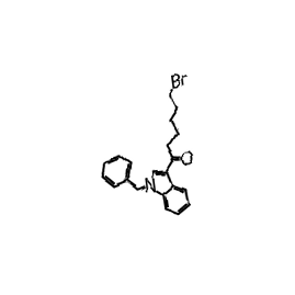 O=C(CCCCCBr)c1cn(Cc2ccccc2)c2ccccc12